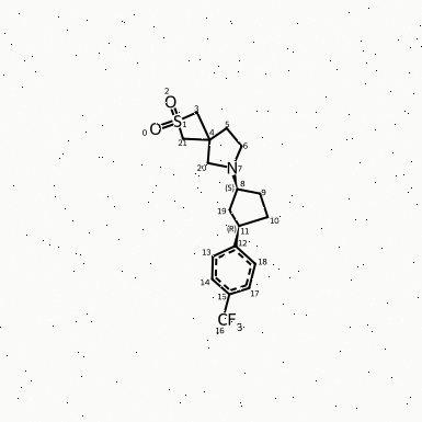 O=S1(=O)CC2(CCN([C@H]3CC[C@@H](c4ccc(C(F)(F)F)cc4)C3)C2)C1